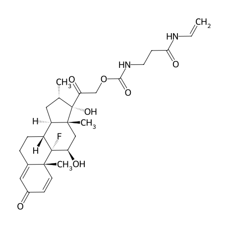 C=CNC(=O)CCNC(=O)OCC(=O)[C@]1(O)[C@@H](C)C[C@@H]2[C@H]3CCC4=CC(=O)C=C[C@@]4(C)[C@]3(F)[C@H](O)C[C@]21C